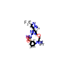 CC(C)C[C@@H]1COc2cc(-c3cc(C(F)(F)F)nn3C)nc(n2)NS(=O)(=O)c2cccc(c2)N1